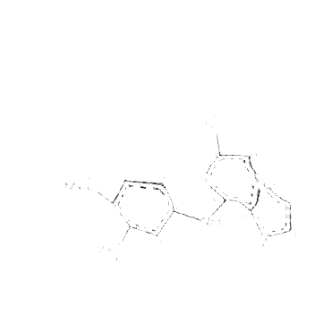 COc1ccc(Nc2nc(Br)cn3ccnc23)cc1OC